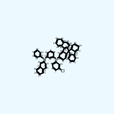 Clc1cccc(N(c2cccc(N(c3ccccc3)c3ccc4ccccc4c3)c2)c2ccc3c(c2)-c2c(ccc4ccccc24)C32c3ccccc3-c3ccccc32)c1